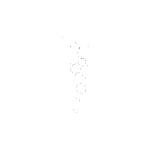 COC[C@H]1O[C@@H](n2cnc3c(Nc4ccc(N5CCN(C)CC5)cc4)nc(C)nc32)[C@H](O)[C@@H]1O